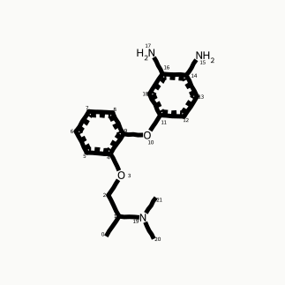 CC(COc1ccccc1Oc1ccc(N)c(N)c1)N(C)C